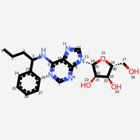 CCCC(Nc1ncnc2c1ncn2[C@@H]1O[C@H](CO)[C@@H](O)[C@H]1O)c1ccccc1